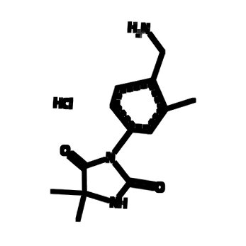 Cc1cc(N2C(=O)NC(C)(C)C2=O)ccc1CN.Cl